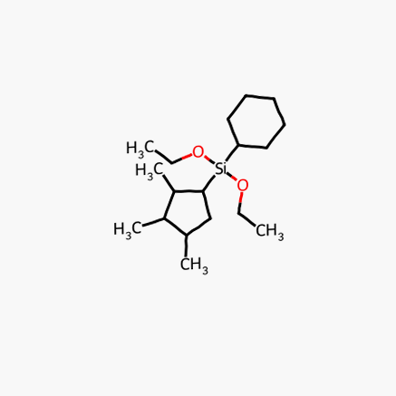 CCO[Si](OCC)(C1CCCCC1)C1CC(C)C(C)C1C